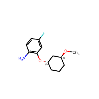 CO[C@H]1CCC[C@H](Oc2cc(F)ccc2N)C1